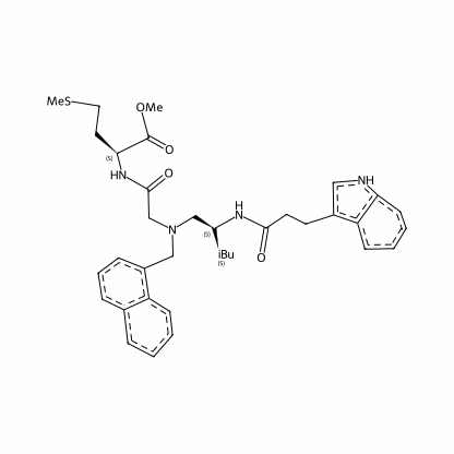 CC[C@H](C)[C@@H](CN(CC(=O)N[C@@H](CCSC)C(=O)OC)Cc1cccc2ccccc12)NC(=O)CCc1c[nH]c2ccccc12